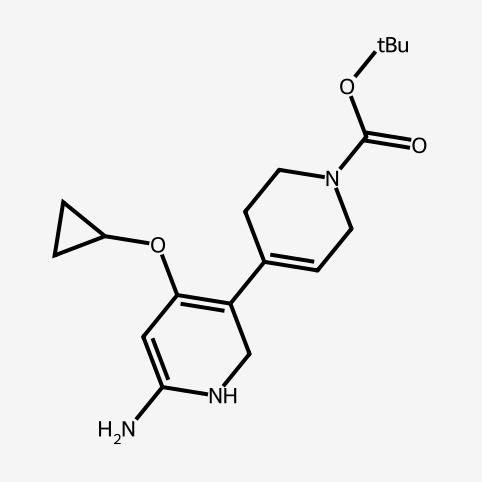 CC(C)(C)OC(=O)N1CC=C(C2=C(OC3CC3)C=C(N)NC2)CC1